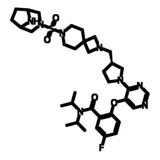 CC(C)N(C(=O)c1cc(F)ccc1Oc1cncnc1N1CC[C@@H](CN2CC3(CCN(S(=O)(=O)N4CC5CCC(C4)N5)CC3)C2)C1)C(C)C